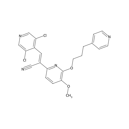 COc1ccc(C(C#N)=Cc2c(Cl)cncc2Cl)nc1OCCCc1ccncc1